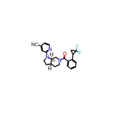 N#Cc1ccnc(N2CC[C@@H]3CCN(C(=O)c4ccccc4C4CC4(F)F)C[C@@H]32)c1